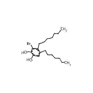 CCCCCCCc1cc(O)c(O)c(Br)c1CCCCCCC